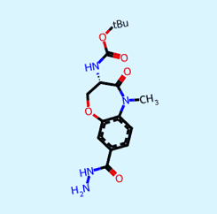 CN1C(=O)[C@@H](NC(=O)OC(C)(C)C)COc2cc(C(=O)NN)ccc21